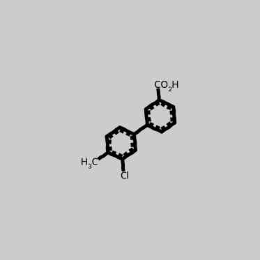 Cc1ccc(-c2cccc(C(=O)O)c2)cc1Cl